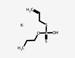 C=CCSP(O)(=S)OCCC.[K]